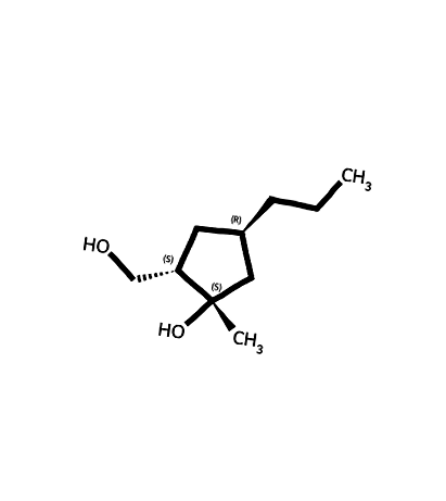 CCC[C@@H]1C[C@@H](CO)[C@@](C)(O)C1